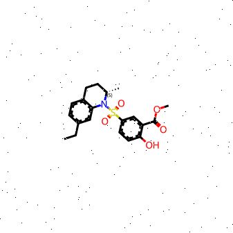 CCc1ccc2c(c1)N(S(=O)(=O)c1ccc(O)c(C(=O)OC)c1)[C@@H](C)CC2